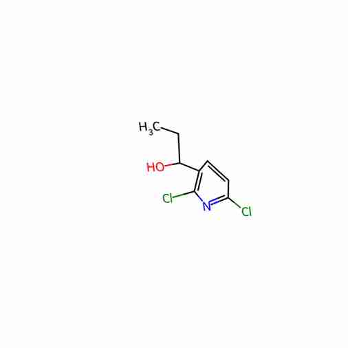 CCC(O)c1ccc(Cl)nc1Cl